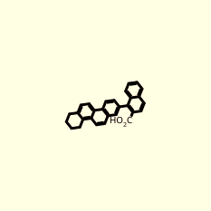 O=C(O)c1ccc2ccccc2c1-c1ccc2c(ccc3c4c(ccc32)CCCC4)c1